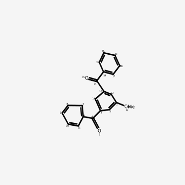 COc1cc(C(=O)c2ccccc2)cc(C(=O)c2ccccc2)c1